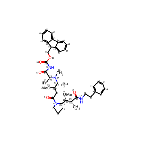 CC[C@H](C)[C@@H]([C@@H](CC(=O)N1CCC[C@H]1[C@H](OC)[C@@H](C)C(=O)NCCc1ccccc1)OC)N(C)[C@H](C(=O)NC(=O)OCC1c2ccccc2-c2ccccc21)C(C)C